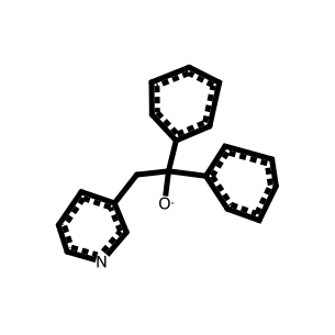 [O]C(Cc1cccnc1)(c1ccccc1)c1ccccc1